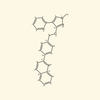 Cn1cc(-c2ccccn2)c(OCc2ccc(-c3ccc4ccccc4n3)cc2)n1